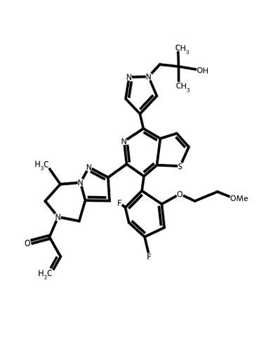 C=CC(=O)N1Cc2cc(-c3nc(-c4cnn(CC(C)(C)O)c4)c4ccsc4c3-c3c(F)cc(F)cc3OCCOC)nn2C(C)C1